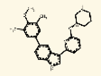 COc1c(C)cc(-c2ccc3[nH]cc(-c4cncc(O[C@@H]5CCCNC5)n4)c3c2)cc1C